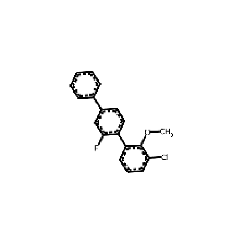 COc1c(Cl)cccc1-c1ccc(-c2ccccc2)cc1F